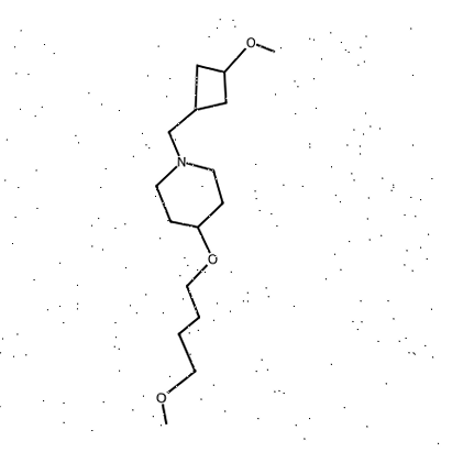 COCCCCOC1CCN(CC2CC(OC)C2)CC1